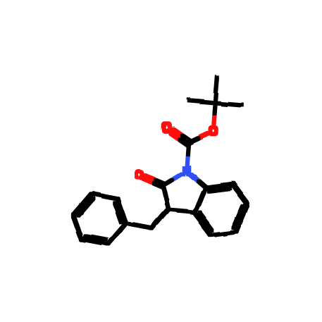 CC(C)(C)OC(=O)N1C(=O)C(Cc2ccccc2)c2ccccc21